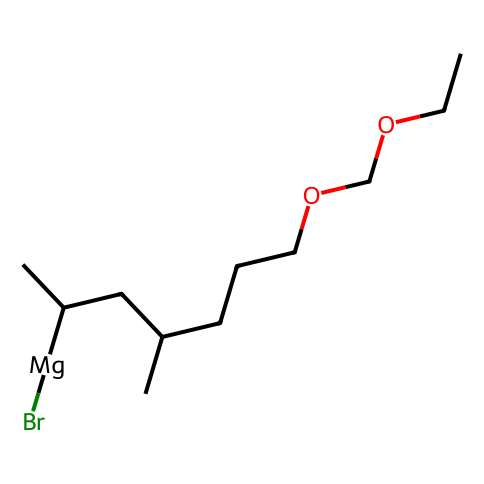 CCOCOCCCC(C)C[CH](C)[Mg][Br]